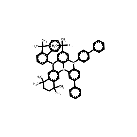 CC(C)(C)c1cc2c3c(c1)N(c1cccc4c1-c1ccccc1C4(C)C)c1cc4c(cc1B3c1cc(-c3ccccc3)ccc1N2c1ccc(-c2ccccc2)cc1)C(C)(C)CCC4(C)C